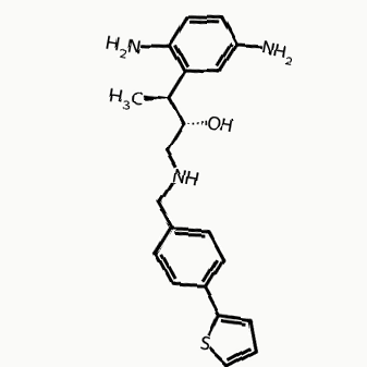 C[C@@H](c1cc(N)ccc1N)[C@H](O)CNCc1ccc(-c2cccs2)cc1